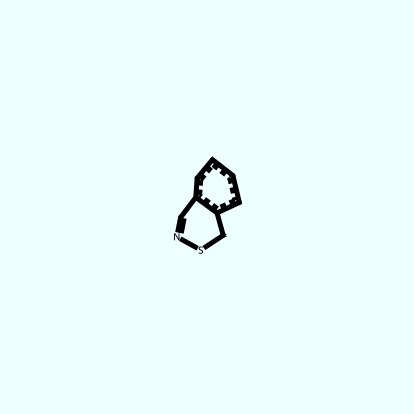 [C]1SN=Cc2ccccc21